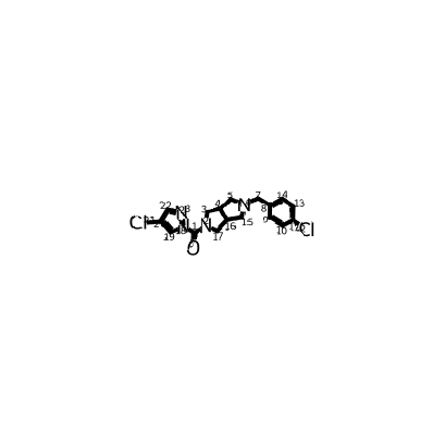 O=C(N1CC2CN(Cc3ccc(Cl)cc3)CC2C1)n1cc(Cl)cn1